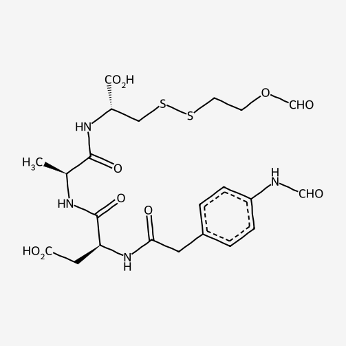 C[C@H](NC(=O)[C@H](CC(=O)O)NC(=O)Cc1ccc(NC=O)cc1)C(=O)N[C@@H](CSSCCOC=O)C(=O)O